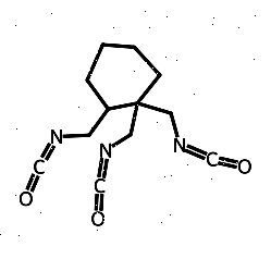 O=C=NCC1CCCCC1(CN=C=O)CN=C=O